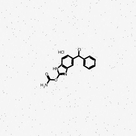 Cl.NC(=O)Oc1nc2cc(C(Cl)c3ccccc3)ccc2[nH]1